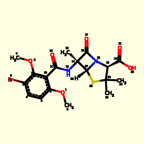 COc1ccc(Br)c(OC)c1C(=O)N[C@@]1(C)C(=O)N2[C@@H](C(=O)O)C(C)(C)S[C@@H]21